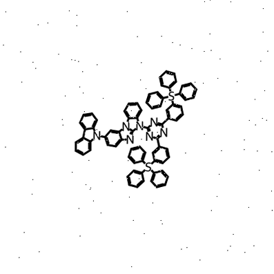 c1ccc(S(c2ccccc2)(c2ccccc2)c2cccc(-c3nc(-c4cccc(S(c5ccccc5)(c5ccccc5)c5ccccc5)c4)nc(-n4c5ccccc5n5c6cc(-n7c8ccccc8c8ccccc87)ccc6nc45)n3)c2)cc1